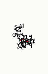 Cc1nc2ccccc2n1[C@H]1C[C@H]2CC[C@@H](C1)N2CCC1(c2ccccc2)CCN(C(=O)c2ccc(Cl)s2)CC1